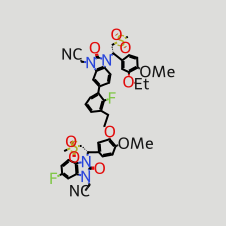 CCOc1cc([C@@H](CS(C)(=O)=O)n2c(=O)n(CC#N)c3cc(-c4cccc(CCOc5cc([C@@H](CS(C)(=O)=O)n6c(=O)n(CC#N)c7cc(F)ccc76)ccc5OC)c4F)ccc32)ccc1OC